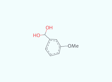 COc1cccc(C(O)O)c1